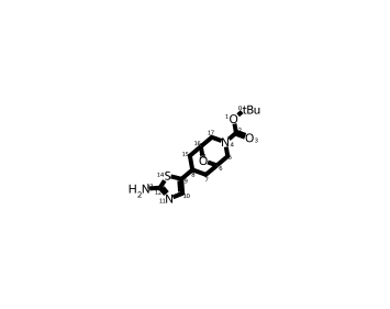 CC(C)(C)OC(=O)N1CC2CC(c3cnc(N)s3)CC(C1)O2